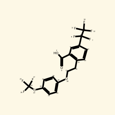 O=C(O)c1cc(C(F)(F)C(F)(F)F)ccc1CCOc1ccc(OC(F)(F)F)cc1